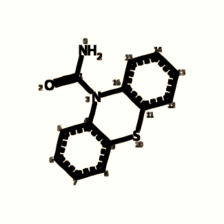 NC(=O)N1c2ccccc2Sc2ccccc21